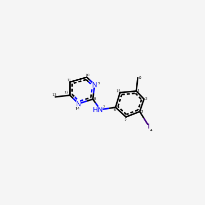 Cc1cc(I)cc(Nc2nccc(C)n2)c1